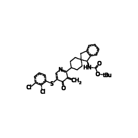 C=C1C(=O)C(Sc2cccc(Cl)c2Cl)=CN=C1C1CCC2(CC1)Cc1ccccc1[C@H]2NC(=O)OC(C)(C)C